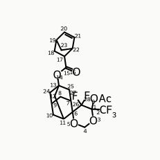 CC(=O)OC1(C(F)(F)F)OCOC2(C3CC4CC2CC(OC(=O)C2CC5C=CC2C5)(C4)C3)C1(F)F